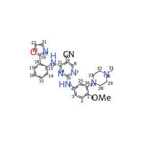 COc1ccc(Nc2ncc(C#N)c(Nc3ccccc3-c3ncco3)n2)cc1N1CCN(C)CC1